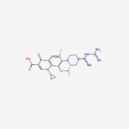 N=C(N)NC(=N)N1CCN(c2c(F)cc3c(=O)c(C(=O)O)cn(C4CC4)c3c2OC(F)F)CC1